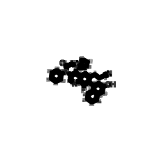 N#CCCc1cc2c3c(cnc2c(F)c1-c1cc(O)cc2ccccc12)N(c1ccccc1)C(=O)CN3C1C2CNC1C2